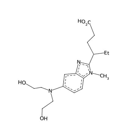 CCC(CCC(=O)O)c1nc2cc(N(CCO)CCO)ccc2n1C